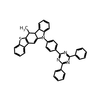 CC1c2sc3ccccc3c2C=C2C1c1ccccc1N2c1ccc(-c2nc(-c3ccccc3)nc(-c3ccccc3)n2)cc1